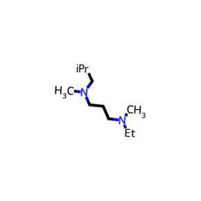 CCN(C)CCCN(C)CC(C)C